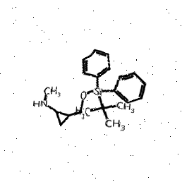 CNC1CC1CO[Si](c1ccccc1)(c1ccccc1)C(C)(C)C